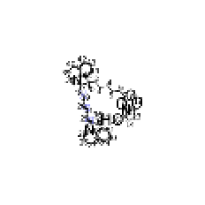 CC1(CCCCCC(=O)ON2C(=O)CCC2O)C(/C=C/C=C/C=C2/N3CCCc4cccc(c43)C2(C)C)=[N+]2CCCc3cccc1c32